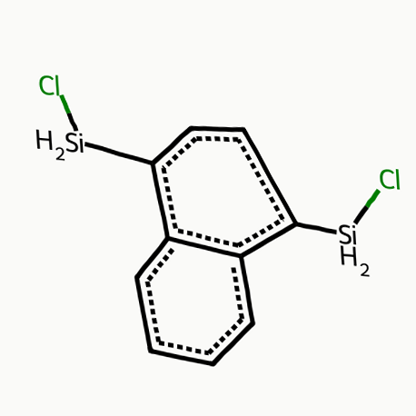 Cl[SiH2]c1ccc([SiH2]Cl)c2ccccc12